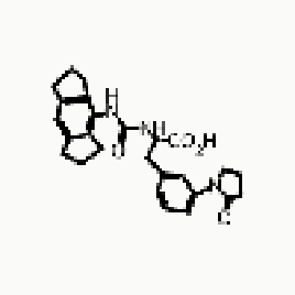 O=C(Nc1c2c(cc3c1CCC3)CCC2)N[C@H](Cc1cccc(N2CCCC2=O)c1)C(=O)O